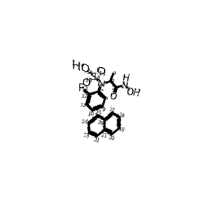 CC(C(=O)NO)N(c1ccccc1F)S(=O)(=O)O.c1ccc2ccccc2c1